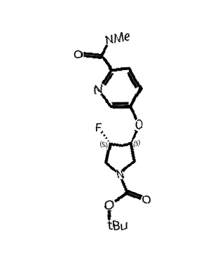 CNC(=O)c1ccc(O[C@H]2CN(C(=O)OC(C)(C)C)C[C@@H]2F)cn1